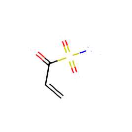 C=CC(=O)S(N)(=O)=O